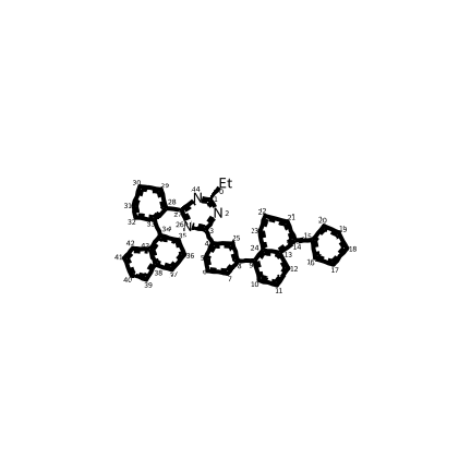 CCc1nc(-c2cccc(-c3cccc4c(-c5ccccc5)cccc34)c2)nc(-c2ccccc2-c2cccc3ccccc23)n1